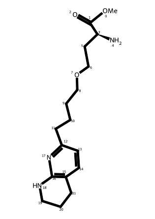 COC(=O)[C@@H](N)CCOCCCCc1ccc2c(n1)NCCC2